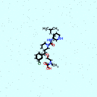 CC(C)C[C@@H]1CCNC[C@H]1NC(=O)N1CCC[C@@H]([C@@H](OCCN(C)C(=O)O)c2cccc(Cl)c2)C1